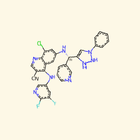 N#Cc1cnc2c(Cl)cc(N[C@H](C3=CN(c4ccccc4)NN3)c3cccnc3)cc2c1Nc1cnc(F)c(F)c1